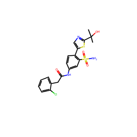 CC(C)(O)c1ncc(-c2ccc(NC(=O)Cc3ccccc3Cl)cc2S(N)(=O)=O)s1